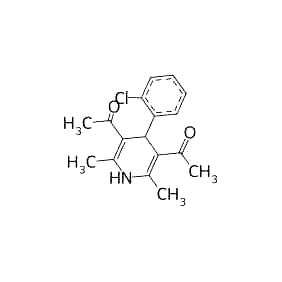 CC(=O)C1=C(C)NC(C)=C(C(C)=O)C1c1ccccc1Cl